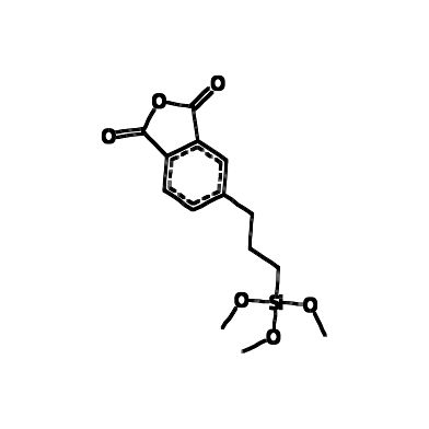 CO[Si](CCCc1ccc2c(c1)C(=O)OC2=O)(OC)OC